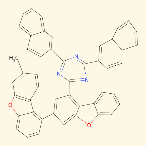 CC1C=Cc2c(oc3cccc(-c4cc(-c5nc(C6=CC7C=CC=CC7C=C6)nc(-c6ccc7ccccc7c6)n5)c5c(c4)oc4ccccc45)c23)C1